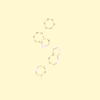 Oc1cncc(-c2cnc3[nH]nc(-c4cc5c(-c6ccc(F)cc6)cccc5[nH]4)c3c2)c1